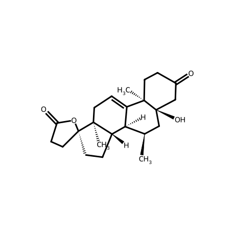 C[C@@H]1C[C@@]2(O)CC(=O)CC[C@]2(C)C2=CC[C@@]3(C)[C@@H](CC[C@@]34CCC(=O)O4)[C@@H]21